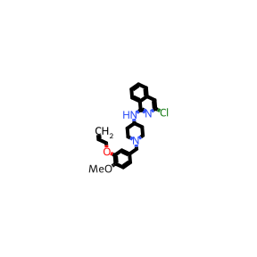 C=CCOc1cc(CN2CCC(Nc3nc(Cl)cc4ccccc34)CC2)ccc1OC